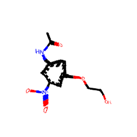 CC(=O)Nc1cc(OCCO)cc([N+](=O)[O-])c1